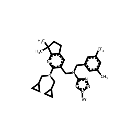 Cc1cc(CN(Cc2cc3c(nc2N(CC2CC2)CC2CC2)C(C)(C)CC3)c2nnn(C(C)C)n2)cc(C(F)(F)F)c1